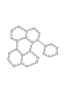 [c]1cccc(-c2ccc3cccc4c5cccc6cccc(c2c34)c65)c1